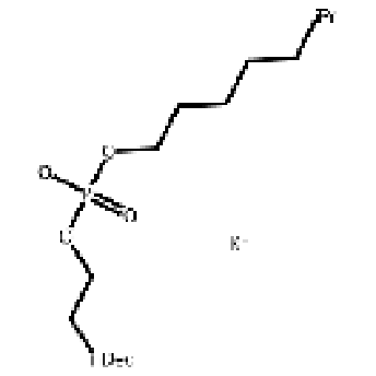 CCCCCCCCCCCCOP(=O)([O-])OCCCCCC(C)C.[K+]